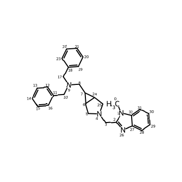 Cn1c(CN2CC3C(CN(Cc4ccccc4)Cc4ccccc4)C3C2)nc2ccccc21